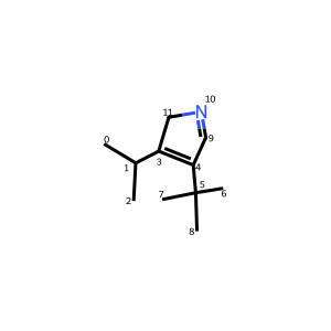 CC(C)C1=C(C(C)(C)C)C=NC1